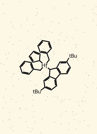 CC(C)(C)c1ccc2c(c1)[CH]([Hf]([CH2]c1ccccc1)([CH2]c1ccccc1)[CH]1C=CC=C1)c1cc(C(C)(C)C)ccc1-2